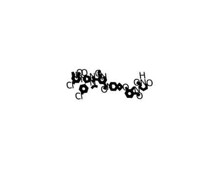 COc1ncc(C(=O)N2CCC3(CC2)CC(Oc2cccc4c2CN(C2CCC(=O)NC2=O)C4=O)C3)cc1-c1nc2c(n1C(C)C)[C@H](c1ccc(Cl)cc1)N(c1cc(Cl)cn(C)c1=O)C2=O